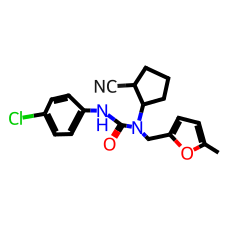 Cc1ccc(CN(C(=O)Nc2ccc(Cl)cc2)C2CCCC2C#N)o1